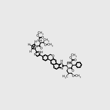 COC[C@@H](C)CN(C(=O)[C@H](NC(=O)OC)c1ccccc1)[C@@H](C)c1nc2ccc3cc4c(cc3c2[nH]1)OCc1cc(-c2cnc(C3[C@H]5C6[C@H]5[C@@H]6N3C(=O)[C@@H](NC(=O)OC)[C@@H](C)OC)[nH]2)ccc1-4